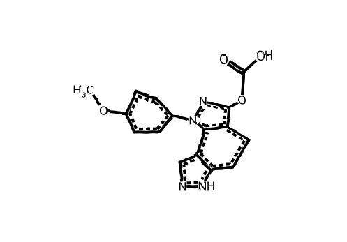 COc1ccc(-n2nc(OC(=O)O)c3ccc4[nH]ncc4c32)cc1